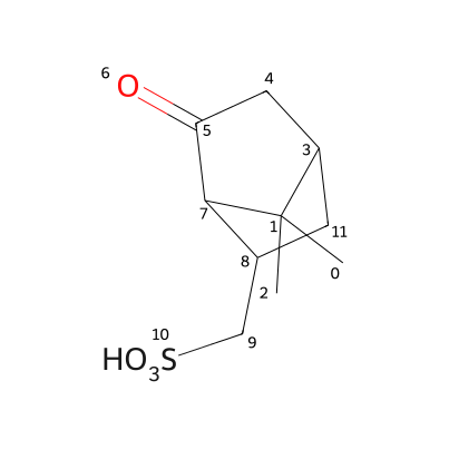 CC1(C)C2CC(=O)C1C(CS(=O)(=O)O)C2